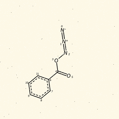 [N-]=[N+]=NOC(=O)c1ccccc1